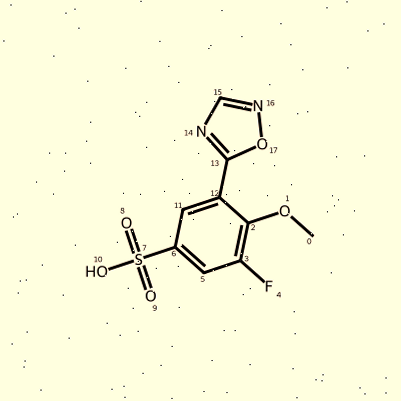 COc1c(F)cc(S(=O)(=O)O)cc1-c1ncno1